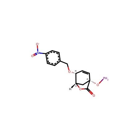 O=C1O[C@H]2C[C@@]1(OP)C=C[C@H]2OCc1ccc([N+](=O)[O-])cc1